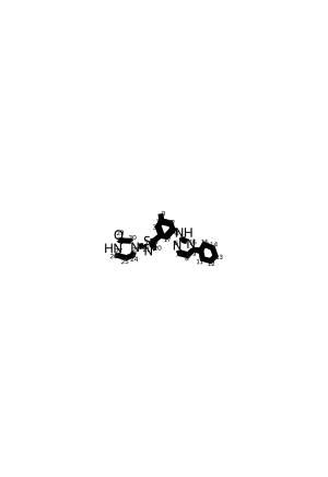 Cc1cc(Nc2nccc(C3CCCCC3)n2)cc(-c2cnc(N3CCCNC(=O)C3)s2)c1